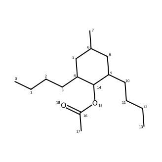 CCCCC1CC(C)CC(CCCC)C1OC(C)=O